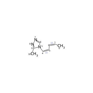 C/C=C\C=C/n1cnnc1C